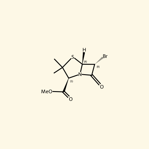 COC(=O)[C@@H]1N2C(=O)[C@@H](Br)[C@H]2SC1(C)C